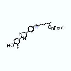 CCCCCOC(C)CCC/C=C/c1ccc(-c2cnc(-c3ccc(O)c(F)c3)nc2)cc1